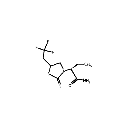 CC[C@@H](C(N)=O)N1CC(CC(F)(F)F)SC1=S